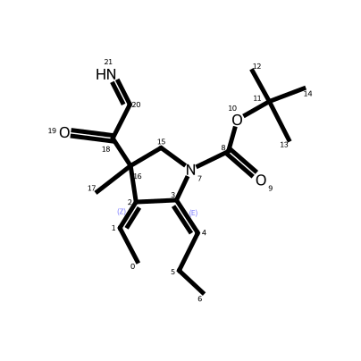 C/C=C1\C(=C/CC)N(C(=O)OC(C)(C)C)CC1(C)C(=O)C=N